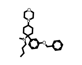 CCCCN(C)C1(c2cccc(OCc3ccccc3)c2)CCC(N2CCOCC2)CC1